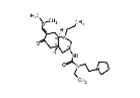 CCCN1C[C@@H](NC(=O)N(CC)CCN2CCCC2)C[C@@H]2CC(=O)C(=CN(C)C)C[C@H]21